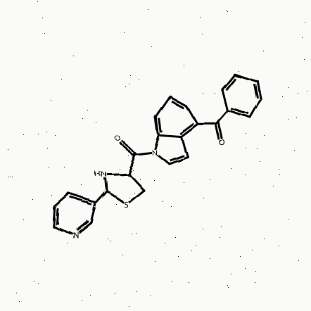 O=C(c1ccccc1)c1cccc2c1ccn2C(=O)C1CSC(c2cccnc2)N1